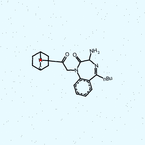 CCCCC1=NC(N)C(=O)N(CC(=O)N2CC3CCC(CC3)C2)c2ccccc21